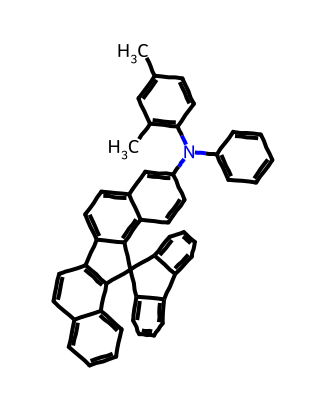 Cc1ccc(N(c2ccccc2)c2ccc3c4c(ccc3c2)-c2ccc3ccccc3c2C42c3ccccc3-c3ccccc32)c(C)c1